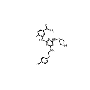 Cc1ccc(C(N)=O)cc1Nc1nc(NCCc2ccc(Cl)cc2)nc(N[C@H]2CCNC2)n1